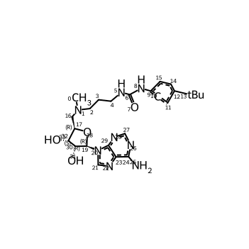 CN(CCCNC(=O)Nc1ccc(C(C)(C)C)cc1)C[C@H]1O[C@@H](n2cnc3c(N)ncnc32)[C@H](O)[C@@H]1O